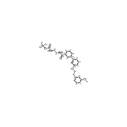 COc1cccc(CCOc2cccc(-c3cccc(C(=O)NCCNC(=O)OC(C)(C)C)c3)n2)c1